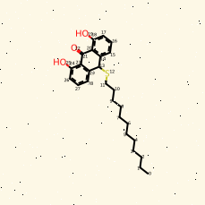 CCCCCCCCCCCCSC1c2cccc(O)c2C(=O)c2c(O)cccc21